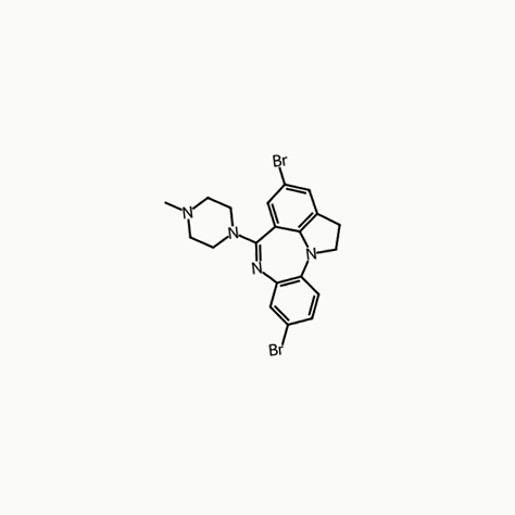 CN1CCN(C2=Nc3cc(Br)ccc3N3CCc4cc(Br)cc2c43)CC1